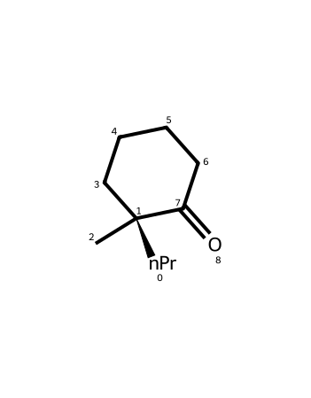 CCC[C@@]1(C)CCCCC1=O